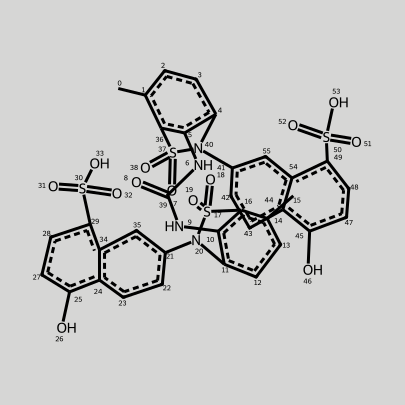 Cc1ccc2c(NC(=O)Nc3c4ccc(C)c3S(=O)(=O)N4c3ccc4c(O)ccc(S(=O)(=O)O)c4c3)c1S(=O)(=O)N2c1ccc2c(O)ccc(S(=O)(=O)O)c2c1